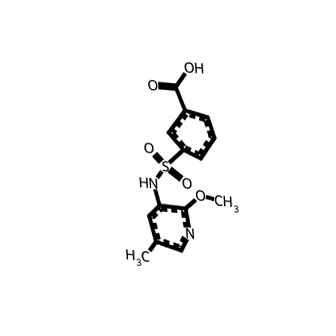 COc1ncc(C)cc1NS(=O)(=O)c1cccc(C(=O)O)c1